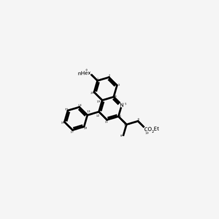 CCCCCCc1ccc2nc(C(C)CC(=O)OCC)cc(-c3ccccc3)c2c1